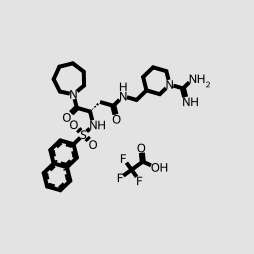 N=C(N)N1CCCC(CNC(=O)C[C@H](NS(=O)(=O)c2ccc3ccccc3c2)C(=O)N2CCCCCC2)C1.O=C(O)C(F)(F)F